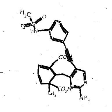 CC1(C(=O)O)C=CC=C(C(=O)O)C1c1nc(N)ncc1C#Cc1cccc(NS(C)(=O)=O)c1